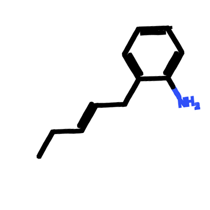 CCC=CCc1cc[c]cc1N